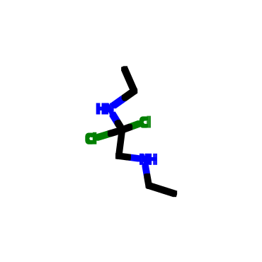 CCNCC(Cl)(Cl)NCC